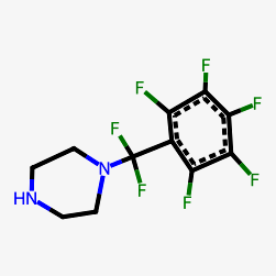 Fc1c(F)c(F)c(C(F)(F)N2CCNCC2)c(F)c1F